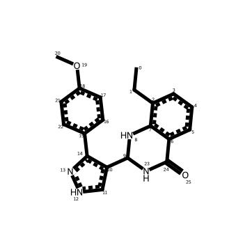 CCc1cccc2c1NC(c1c[nH]nc1-c1ccc(OC)cc1)NC2=O